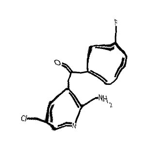 Nc1ncc(Cl)cc1C(=O)c1cccc(F)c1